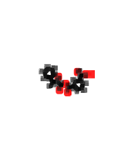 Cc1c(C(=O)OC(=O)c2cccc(C(=O)O)c2)oc2ccccc12